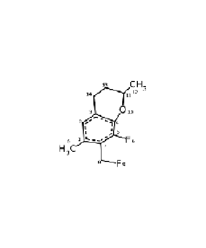 Cc1cc2c(c(F)c1CF)OC(C)CC2